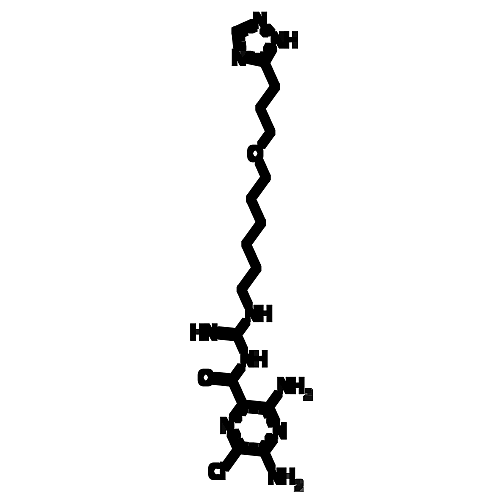 N=C(NCCCCCCOCCCc1ncn[nH]1)NC(=O)c1nc(Cl)c(N)nc1N